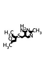 Cc1ncc(CSc2cc(C)oc2C)c(N)n1